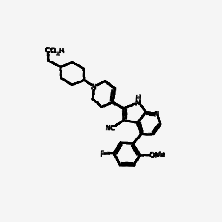 COc1ccc(F)cc1-c1ccnc2[nH]c(C3=CCN(C4CCC(CC(=O)O)CC4)CC3)c(C#N)c12